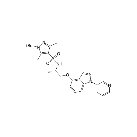 Cc1nn(C(C)(C)C)c(C)c1S(=O)(=O)N[C@@H](C)COc1cccc2c1cnn2-c1cccnc1